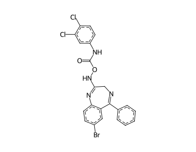 O=C(Nc1ccc(Cl)c(Cl)c1)ONC1=Nc2ccc(Br)cc2C(c2ccccc2)=NC1